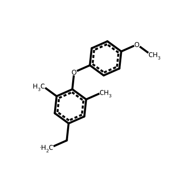 [CH2]Cc1cc(C)c(Oc2ccc(OC)cc2)c(C)c1